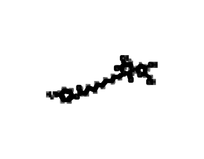 Cc1cn([C@H]2C[C@H](O)[C@@H](CO)O2)c(=O)n(CCCCCCCCCC(=O)Oc2ccc(N)cc2)c1=O